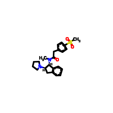 CN(C(=O)Cc1ccc(S(C)(=O)=O)cc1)[C@@H]1c2ccccc2C[C@H]1N1CCCC1